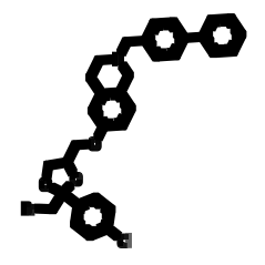 Clc1ccc(C2(CBr)OCC(COc3ccc4c(c3)CCN(Cc3ccc(-c5ccccc5)cc3)C4)O2)cc1